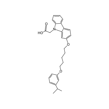 CC(C)c1cccc(OCCCCCOc2ccc3c4ccccc4n(CC(=O)O)c3c2)c1